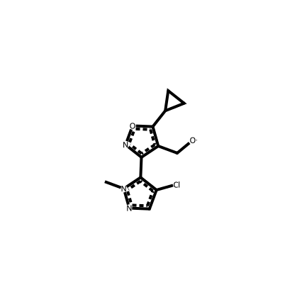 Cn1ncc(Cl)c1-c1noc(C2CC2)c1C[O]